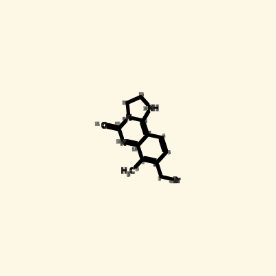 Cc1c(CBr)ccc2c3n(c(=O)nc12)CCN3